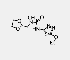 CCOc1nnc(NC(=O)N(C)CC2OCCO2)s1